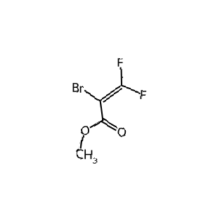 COC(=O)C(Br)=C(F)F